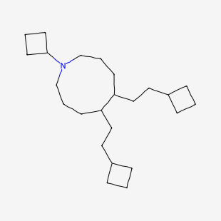 C1CC(CCC2CCCN(C3CCC3)CCCC2CCC2CCC2)C1